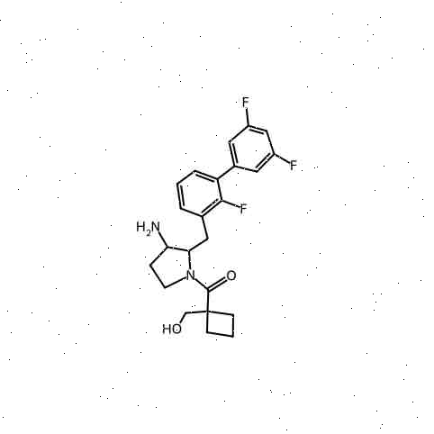 NC1CCN(C(=O)C2(CO)CCC2)C1Cc1cccc(-c2cc(F)cc(F)c2)c1F